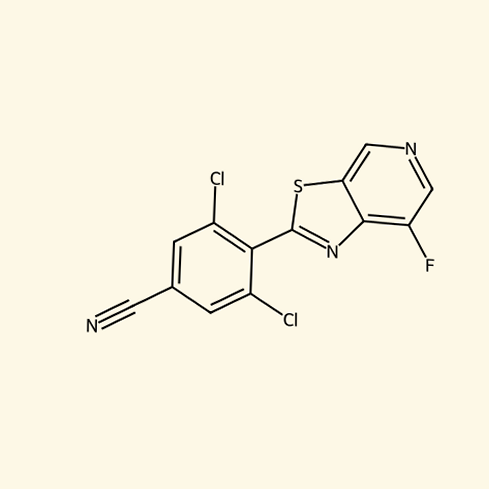 N#Cc1cc(Cl)c(-c2nc3c(F)cncc3s2)c(Cl)c1